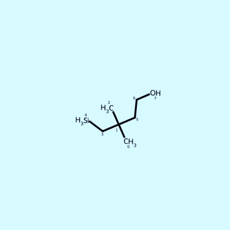 CC(C)(C[SiH3])CCO